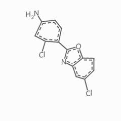 Nc1ccc(-c2nc3cc(Cl)ccc3o2)c(Cl)c1